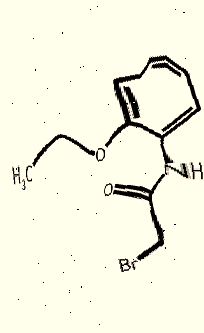 CCOc1ccccc1NC(=O)CBr